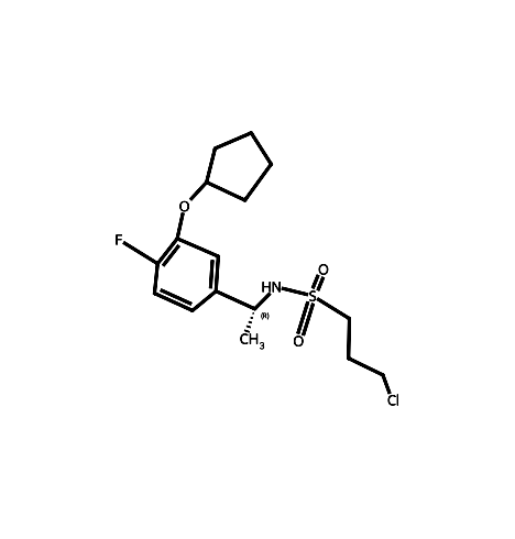 C[C@@H](NS(=O)(=O)CCCCl)c1ccc(F)c(OC2CCCC2)c1